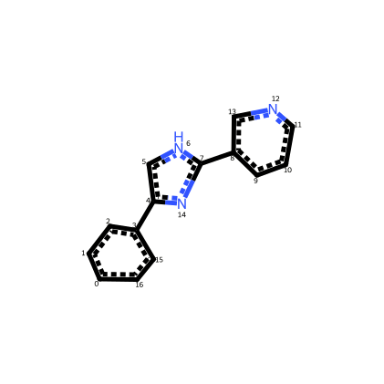 c1ccc(-c2c[nH]c(-c3cccnc3)n2)cc1